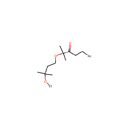 CCOC(C)(C)CCOC(C)(C)C(=O)CCC(C)=O